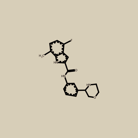 Cc1ccc(F)c2cc(C(=O)Nc3cccc(C4COCCN4)c3)[nH]c12